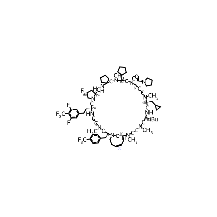 CC[C@H](C)[C@H]1CN(C)CCN(C)[C@H]2C/C=C\CCN(C2)[C@@H](Cc2ccc(C(F)(F)F)cc2)CN(C)CCN[C@@H](CCc2cc(F)c(C(F)(F)F)c(F)c2)CN2C[C@H](F)C[C@H]2CNC2(CCCC2)CN(C)[C@@H](C2CCCC2)CN(C)[C@H](C(=O)N2CCCC2)CCN(C)[C@@H](CC2CC2)CN1